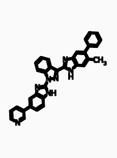 Cc1cc2[nH]c(-c3nn(-c4nc5cc(-c6cccnc6)ccc5[nH]4)c4ccccc34)nc2cc1-c1ccccc1